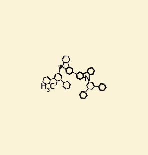 CCC1C(C2=CCCCC2)=CC(C2C[C@@]23C2=C(CCC=C2)c2cc(-c4ccc5c(c4)c4ccccc4n5C4=CC(c5ccccc5)CC(c5ccccc5)=C4)ccc23)=CC1C1C=CC=CC1